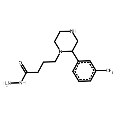 NNC(=O)CCCN1CCNCC1c1cccc(C(F)(F)F)c1